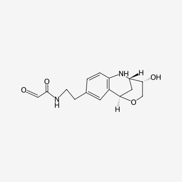 O=CC(=O)NCCc1ccc2c(c1)[C@H]1C[C@H](N2)[C@H](O)CO1